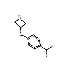 CC(C)c1ccc(OC2CNC2)cn1